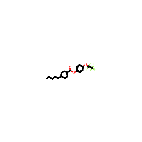 CCCCCC1CCC(C(=O)Oc2ccc(OC(F)(F)C(F)(F)F)cc2)CC1